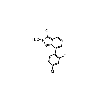 Cn1nc2c(-c3ccc(Cl)cc3Cl)cccc2c1Cl